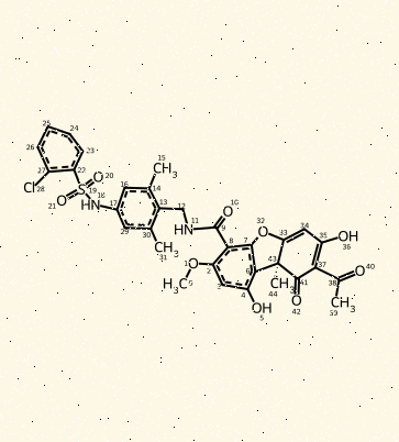 COc1cc(O)c2c(c1C(=O)NCc1c(C)cc(NS(=O)(=O)c3ccccc3Cl)cc1C)OC1=CC(O)=C(C(C)=O)C(=O)[C@]12C